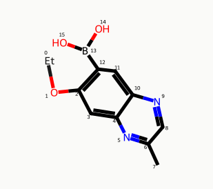 CCOc1cc2nc(C)cnc2cc1B(O)O